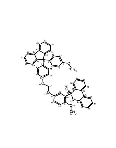 COc1ccc(C2(c3ccc(OCOc4ccc(OC)c(P5(=O)Oc6ccccc6-c6ccccc65)c4)cc3)c3ccccc3-c3ccccc32)cc1